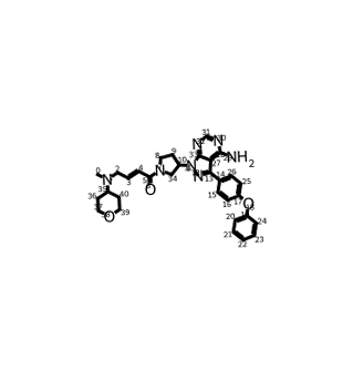 CN(CC=CC(=O)N1CCC(n2nc(-c3ccc(Oc4ccccc4)cc3)c3c(N)ncnc32)C1)C1CCOCC1